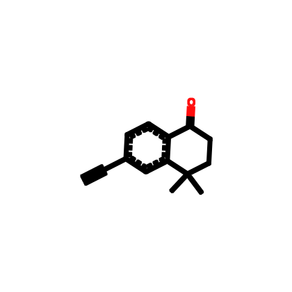 C#Cc1ccc2c(c1)C(C)(C)CCC2=O